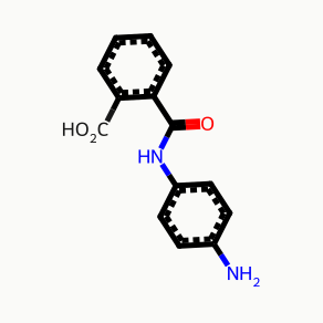 Nc1ccc(NC(=O)c2ccccc2C(=O)O)cc1